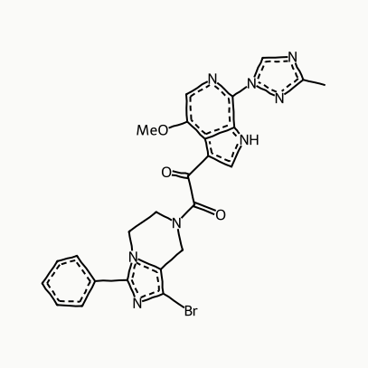 COc1cnc(-n2cnc(C)n2)c2[nH]cc(C(=O)C(=O)N3CCn4c(-c5ccccc5)nc(Br)c4C3)c12